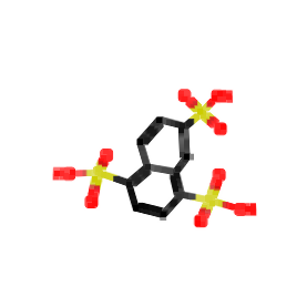 O=S(=O)(O)c1[c]c2c(S(=O)(=O)O)[c]cc(S(=O)(=O)O)c2cc1